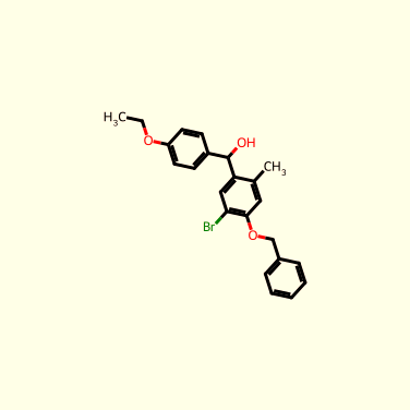 CCOc1ccc(C(O)c2cc(Br)c(OCc3ccccc3)cc2C)cc1